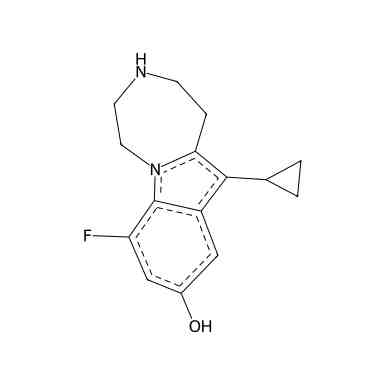 Oc1cc(F)c2c(c1)c(C1CC1)c1n2CCNCC1